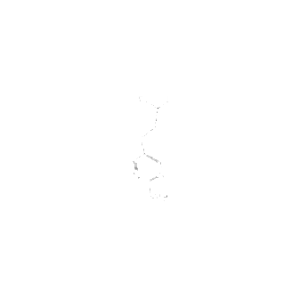 CSc1ncc(OCC(F)F)cn1